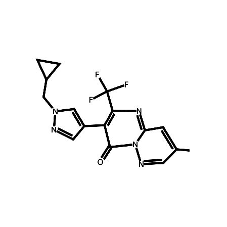 Cc1cnn2c(=O)c(-c3cnn(CC4CC4)c3)c(C(F)(F)F)nc2c1